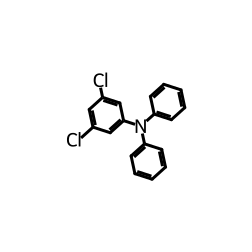 Clc1cc(Cl)cc(N(c2ccccc2)c2ccccc2)c1